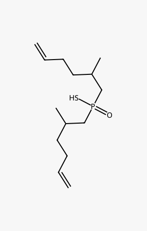 C=CCCC(C)CP(=O)(S)CC(C)CCC=C